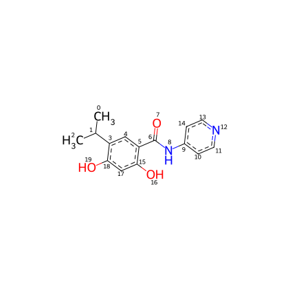 CC(C)c1cc(C(=O)Nc2ccncc2)c(O)cc1O